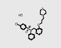 Cl.O=S(=O)(c1ccc(Cl)cc1)N(Cc1ccccc1OCCCN1CCSCC1)c1ccccc1